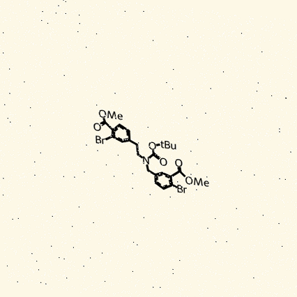 COC(=O)c1ccc(CCN(Cc2ccc(Br)c(C(=O)OC)c2)C(=O)OC(C)(C)C)cc1Br